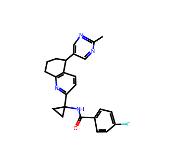 Cc1ncc(C2CCCc3nc(C4(NC(=O)c5ccc(F)cc5)CC4)ccc32)cn1